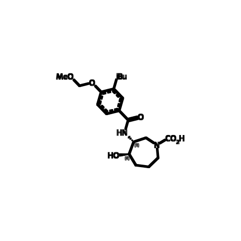 CCC(C)c1cc(C(=O)N[C@@H]2CN(C(=O)O)CCC[C@H]2O)ccc1OCOC